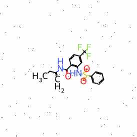 C=C(CC)NC(=O)c1ccc(C(F)(F)F)cc1NS(=O)(=O)c1ccccc1